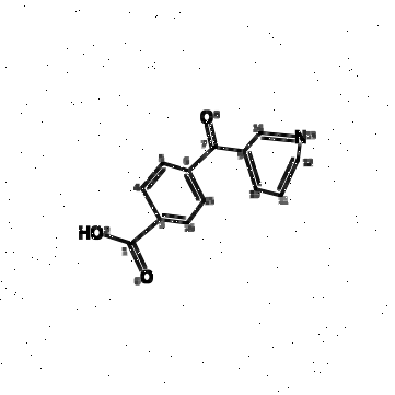 O=C(O)c1ccc(C(=O)c2cccnc2)cc1